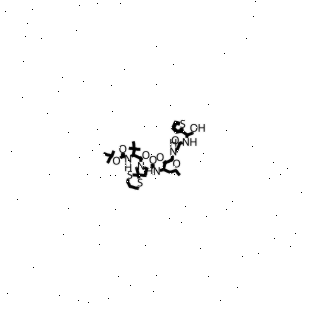 CCCC(NC(=O)[C@@H]1CC2(CN1C(=O)C(NC(=O)OC(C)(C)C)C(C)(C)C)SCCCS2)C(=O)C(=O)NCC(=O)NC(CO)c1cccs1